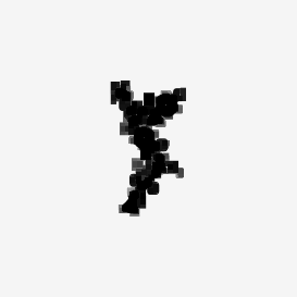 CC(C)(CNC(=O)C(=O)NCC1CC1)CNC(=O)c1ccc(Nc2nc(NC3(c4ccc(Cl)cc4)CC3)nc(OCC(F)(F)F)n2)cc1